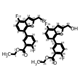 CCOC(=O)c1cc(-c2ccc(F)c3cc(CBr)sc23)ccc1F.CCOC(=O)c1cc(-c2ccc(F)c3cc(CO)sc23)ccc1F